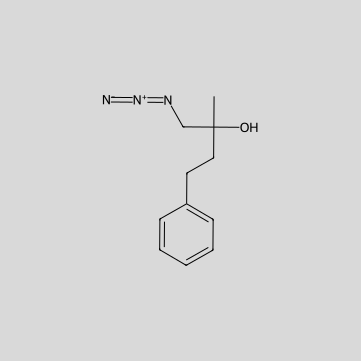 CC(O)(CCc1ccccc1)CN=[N+]=[N-]